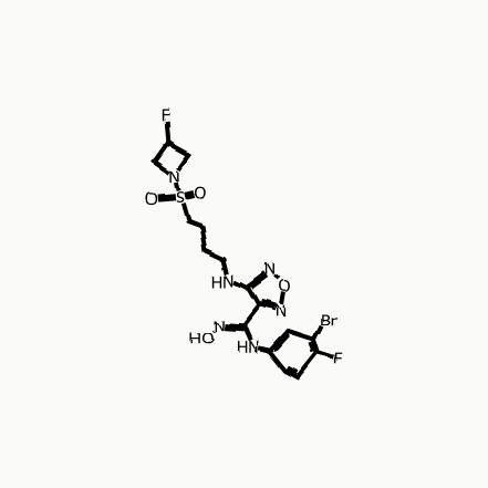 O=S(=O)(CCCCNc1nonc1/C(=N/O)Nc1ccc(F)c(Br)c1)N1CC(F)C1